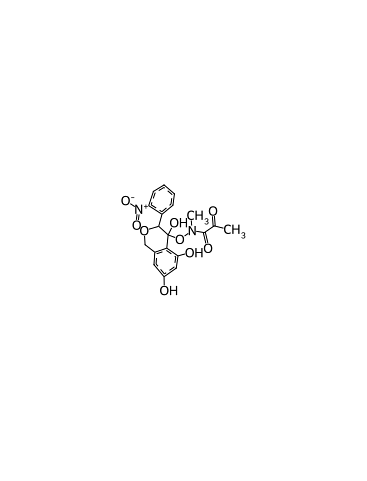 CC(=O)C(=O)N(C)OC1(O)c2c(O)cc(O)cc2COC1c1ccccc1[N+](=O)[O-]